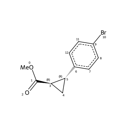 COC(=O)[C@@H]1C[C@H]1c1ccc(Br)cc1